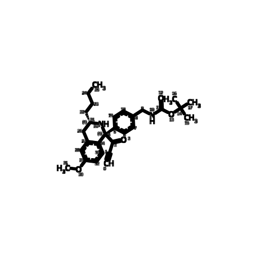 C#CC(=O)[C@@]1(c2ccc(CNC(=O)OC(C)(C)C)cc2)N[C@@H](CCCC)Cc2cc(OC)ccc21